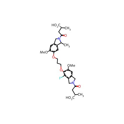 COc1cc2c(cc1OCCCOc1c(OC)cc3c(c1F)CN(C(=O)C[C@H](C)C(=O)O)C3)C(C)N(C(=O)C[C@H](C)C(=O)O)C2